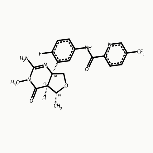 C[C@H]1OC[C@]2(c3cc(NC(=O)c4ccc(C(F)(F)F)cn4)ccc3F)N=C(N)N(C)C(=O)[C@H]12